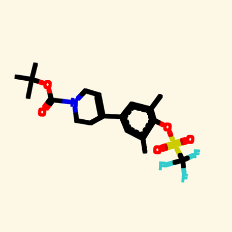 Cc1cc(C2=CCN(C(=O)OC(C)(C)C)CC2)cc(C)c1OS(=O)(=O)C(F)(F)F